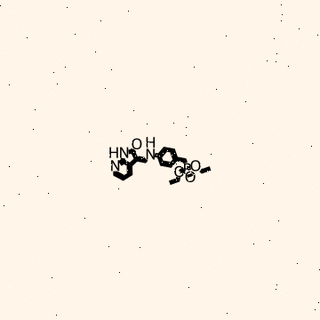 CCOP(=O)(Cc1ccc(N/C=C2\C(=O)Nc3ncccc32)cc1)OCC